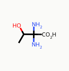 CC(O)C(N)(N)C(=O)O